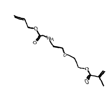 C=CCOC(=O)NCCOCCOC(=O)C(=C)C